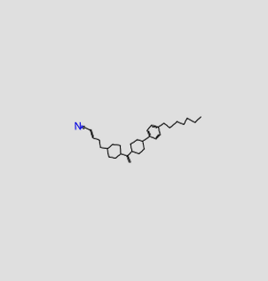 C=C(C1CCC(CCC=CC#N)CC1)C1CCC(c2ccc(CCCCCCC)cc2)CC1